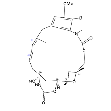 COc1cc2cc(c1Cl)N(C)C(=O)CC[C@@]1(C)C[C@](C)(O1)[C@@H]1C[C@](O)(C/C=C/C=C(\C)C2)NC(=O)O1